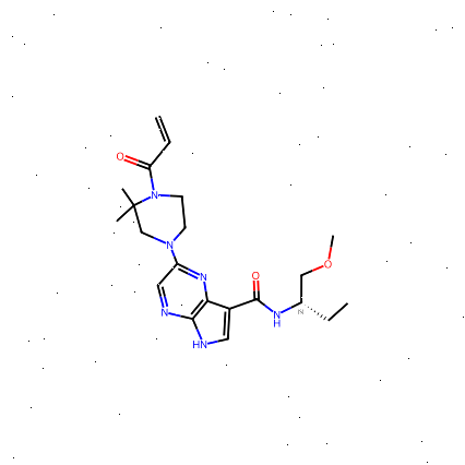 C=CC(=O)N1CCN(c2cnc3[nH]cc(C(=O)N[C@@H](CC)COC)c3n2)CC1(C)C